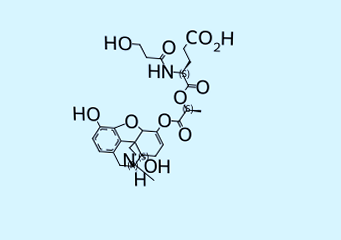 C[C@H](OC(=O)[C@H](CCC(=O)O)NC(=O)CCO)C(=O)OC1=CC[C@@]2(O)[C@H]3Cc4ccc(O)c5c4C2(CCN3C)C1O5